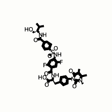 Cc1c(C)n(C)c(=O)n(-c2ccc(C[C@H](NC(=O)c3cc(F)c(NS(=O)(=O)c4ccc(C(=O)N[C@H](CO)C(C)C)cc4)cc3F)C(=O)O)cc2)c1=O